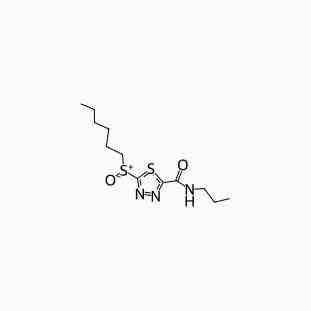 CCCCCC[S+]([O-])c1nnc(C(=O)NCCC)s1